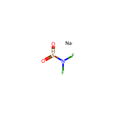 O=[SH](=O)N(F)F.[Na]